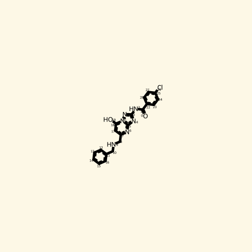 O=C(Nc1nc2nc(CNCc3ccccc3)cc(O)n2n1)c1ccc(Cl)cc1